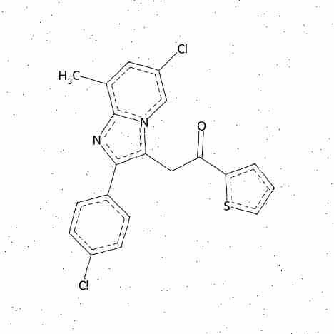 Cc1cc(Cl)cn2c(CC(=O)c3cccs3)c(-c3ccc(Cl)cc3)nc12